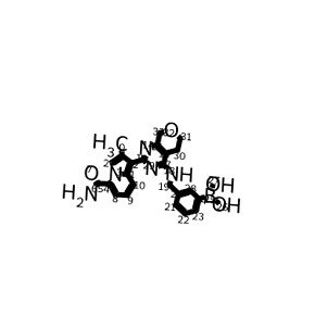 Cc1cn2c(C(N)=O)cccc2c1-c1nc2c(c(NCc3cccc(B(O)O)c3)n1)CCOC2